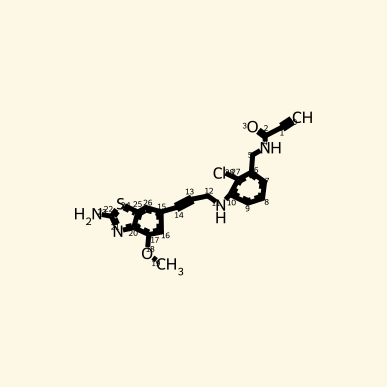 C#CC(=O)NCc1cccc(NCC#Cc2cc(OC)c3nc(N)sc3c2)c1Cl